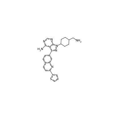 NCC1CCC(n2nc(-c3ccc4ccc(-c5cccs5)nc4c3)c3c(N)ncnc32)CC1